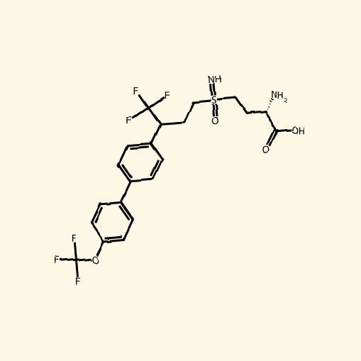 N=S(=O)(CCC(c1ccc(-c2ccc(OC(F)(F)F)cc2)cc1)C(F)(F)F)CC[C@H](N)C(=O)O